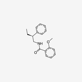 CC[C@H](CNC(=O)c1ccccc1OC)c1ccccc1